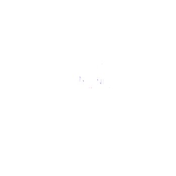 NC(=O)C1[CH]CCCCN1C(=O)c1ccccc1